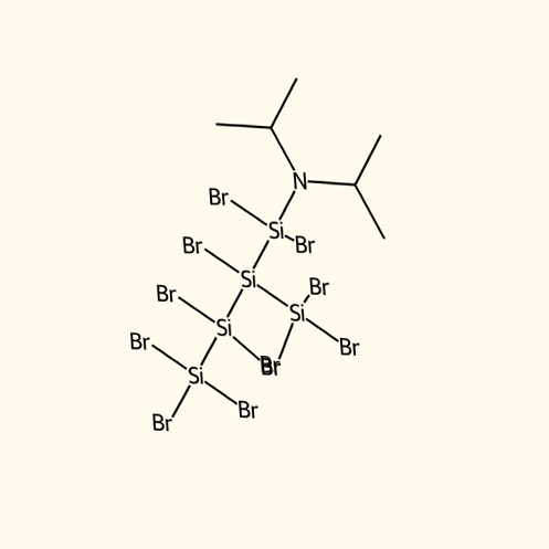 CC(C)N(C(C)C)[Si](Br)(Br)[Si](Br)([Si](Br)(Br)Br)[Si](Br)(Br)[Si](Br)(Br)Br